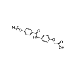 COc1ccc(C(=O)Nc2ccc(OCC(=O)O)cc2)cc1